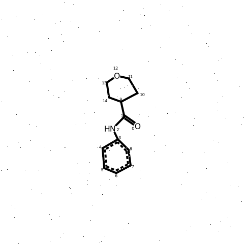 O=C(Nc1ccccc1)C1CCOCC1